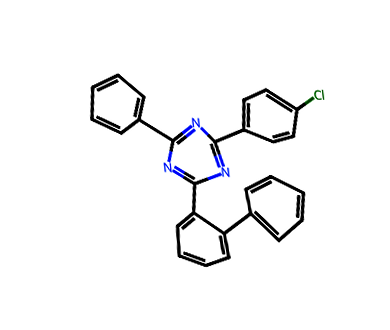 Clc1ccc(-c2nc(-c3ccccc3)nc(-c3ccccc3-c3ccccc3)n2)cc1